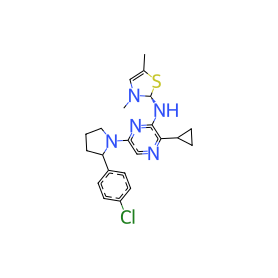 CC1=CN(C)[C@H](Nc2nc(N3CCCC3c3ccc(Cl)cc3)cnc2C2CC2)S1